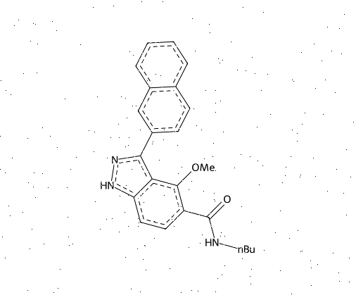 CCCCNC(=O)c1ccc2[nH]nc(-c3ccc4ccccc4c3)c2c1OC